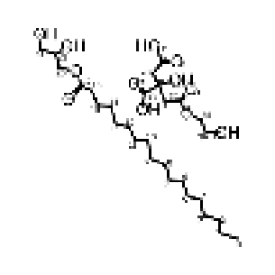 CCCCCCCCCCCCCCCCCC(=O)OCC(O)CO.O=C(O)CC(O)(CC(=O)OCCO)C(=O)O